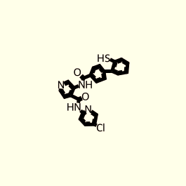 O=C(Nc1cnccc1C(=O)Nc1ccc(Cl)cn1)c1ccc(-c2ccccc2S)cc1